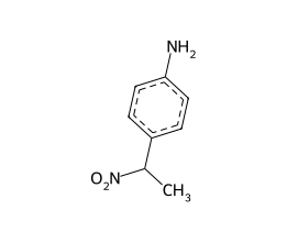 CC(c1ccc(N)cc1)[N+](=O)[O-]